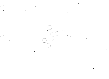 COc1ccc(C2(c3ccccc3F)C=Cc3c(c4c(c5cc(OC)c(OC)cc35)-c3ccccc3C4)O2)cc1